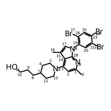 Cc1cc(N2CCC(CCCO)CC2)c2c(C)cn(-c3cc(Br)c(Br)cc3Br)c2n1